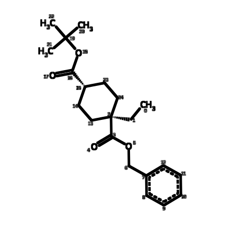 CC[C@]1(C(=O)OCc2ccccc2)CC[C@H](C(=O)OC(C)(C)C)CC1